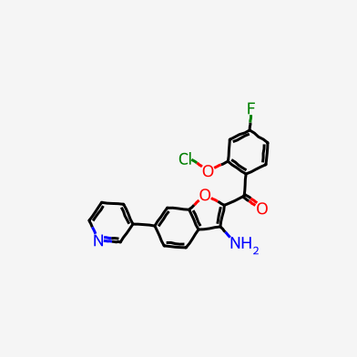 Nc1c(C(=O)c2ccc(F)cc2OCl)oc2cc(-c3cccnc3)ccc12